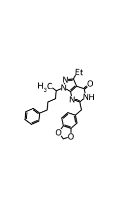 CCc1nn(C(C)CCCc2ccccc2)c2nc(Cc3ccc4c(c3)OCO4)[nH]c(=O)c12